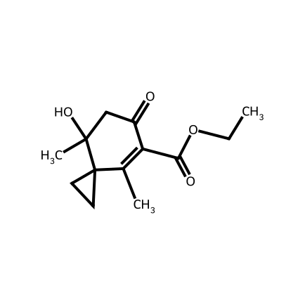 CCOC(=O)C1=C(C)C2(CC2)C(C)(O)CC1=O